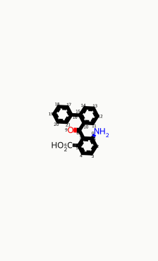 Nc1cccc(C(=O)O)c1C(=O)c1ccccc1-c1ccccc1